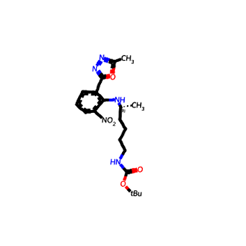 Cc1nnc(-c2cccc([N+](=O)[O-])c2N[C@H](C)CCCCNC(=O)OC(C)(C)C)o1